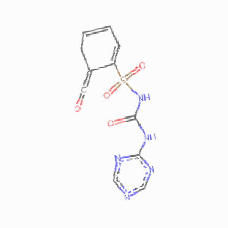 O=C=C1CC=CC=C1S(=O)(=O)NC(=O)Nc1ncncn1